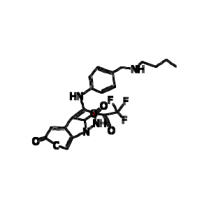 CCCCNCc1ccc(NC2=C3C4=CC(=O)CC=C4N(NC2=O)C3OC(=O)C(F)(F)F)cc1